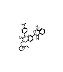 CCN1CCCC1CN(Cc1ccc(C(=O)Nc2ccccc2N)cc1)C(=O)Nc1ccc(N(C)C)cc1